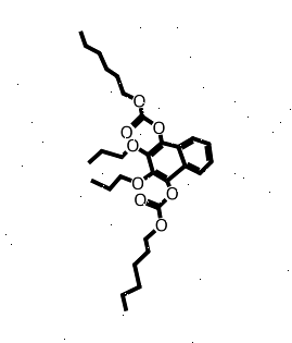 CCCCCCOC(=O)Oc1c(OCCC)c(OCCC)c(OC(=O)OCCCCCC)c2ccccc12